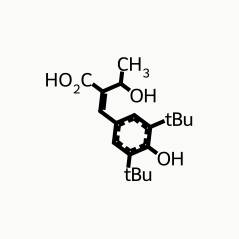 CC(O)C(=Cc1cc(C(C)(C)C)c(O)c(C(C)(C)C)c1)C(=O)O